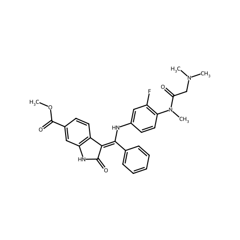 COC(=O)c1ccc2c(c1)NC(=O)C2=C(Nc1ccc(N(C)C(=O)CN(C)C)c(F)c1)c1ccccc1